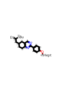 CCCCCCCOc1ccc(-c2ncc3c(n2)CCC(CC(CC)CCCC)C3)cc1